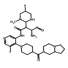 CN1CC(F)CNC1C(C(=O)Nc1cncc(F)c1N1CCC(C(=O)N2CCN3CCCC3C2)CC1)C(N)N=O